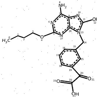 CCCCOc1nc(N)c2nc(O)n(Cc3cccc(C(=O)C(=O)O)c3)c2n1